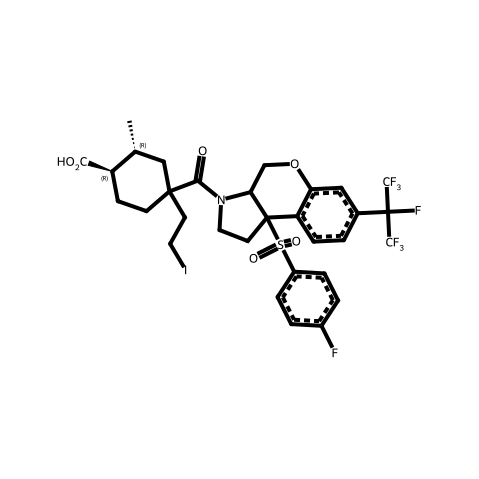 C[C@@H]1CC(CCI)(C(=O)N2CCC3(S(=O)(=O)c4ccc(F)cc4)c4ccc(C(F)(C(F)(F)F)C(F)(F)F)cc4OCC23)CC[C@H]1C(=O)O